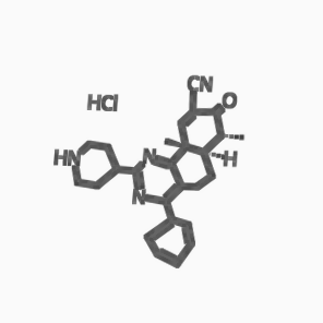 C[C@H]1C(=O)C(C#N)=C[C@@]2(C)c3nc(C4CCNCC4)nc(-c4ccccc4)c3CC[C@H]12.Cl